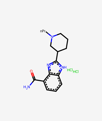 CCCN1CCCC(c2nc3c(C(N)=O)cccc3[nH]2)C1.Cl.Cl